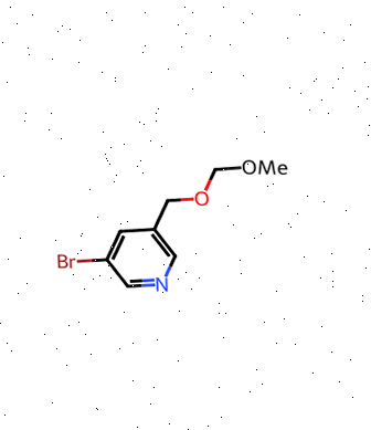 COCOCc1cncc(Br)c1